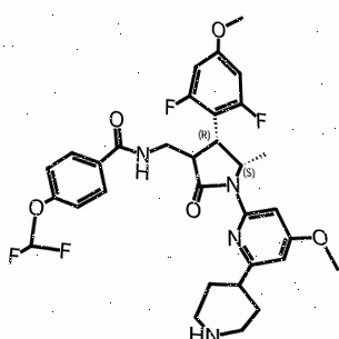 COc1cc(C2CCNCC2)nc(N2C(=O)C(CNC(=O)c3ccc(OC(F)F)cc3)[C@H](c3c(F)cc(OC)cc3F)[C@@H]2C)c1